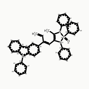 C=C/C(=C\C1=C(C)N(c2ccccc2)P(=O)(c2ccccc2)N1c1ccccc1)c1ccc2c(c1)c1ccccc1n2-c1ccccc1